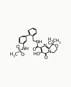 CC1(C)OCCn2c1nc(C(=O)NCc1ccccc1-c1cccc(NS(C)(=O)=O)c1)c(O)c2=O